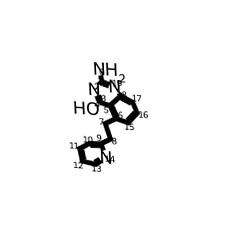 Nc1nc(O)c2c(CCc3ccccn3)cccc2n1